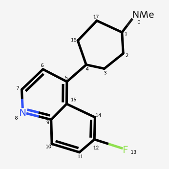 CNC1CCC(c2ccnc3ccc(F)cc23)CC1